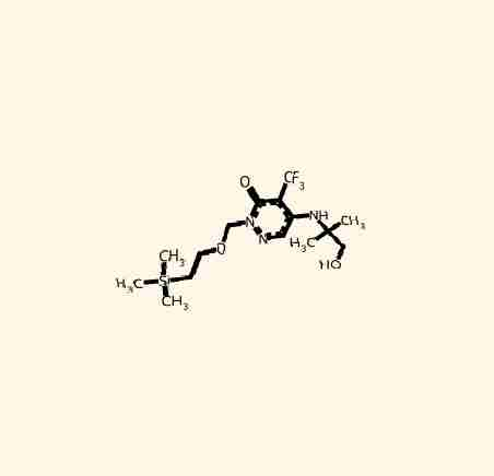 CC(C)(CO)Nc1cnn(COCC[Si](C)(C)C)c(=O)c1C(F)(F)F